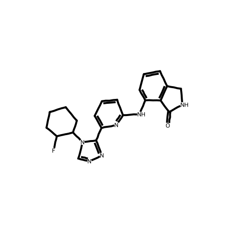 O=C1NCc2cccc(Nc3cccc(-c4nncn4C4CCCCC4F)n3)c21